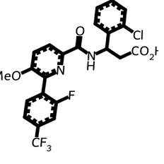 COc1ccc(C(=O)NC(CC(=O)O)c2ccccc2Cl)nc1-c1ccc(C(F)(F)F)cc1F